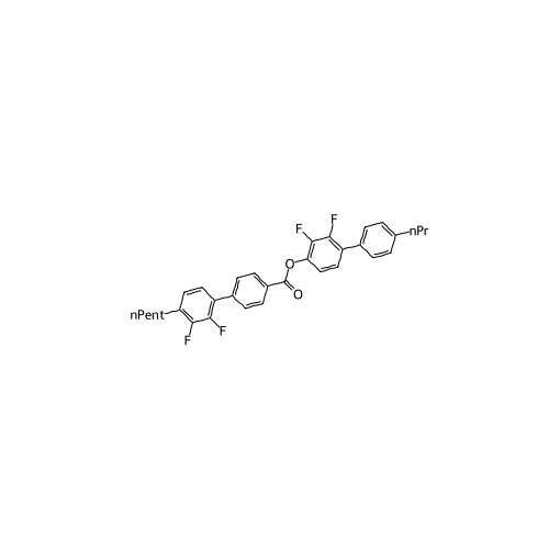 CCCCCc1ccc(-c2ccc(C(=O)Oc3ccc(-c4ccc(CCC)cc4)c(F)c3F)cc2)c(F)c1F